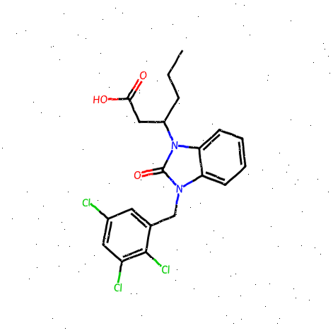 CCCC(CC(=O)O)n1c(=O)n(Cc2cc(Cl)cc(Cl)c2Cl)c2ccccc21